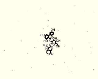 C=C[C@H]1[C@H](OC2OC(CO)C(O)C(O)C2OC(=O)c2c(O)cc(O)cc2-c2cccc(O)c2)OC=C2C(=O)OCC[C@H]21